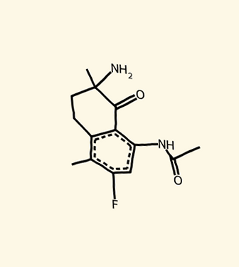 CC(=O)Nc1cc(F)c(C)c2c1C(=O)C(C)(N)CC2